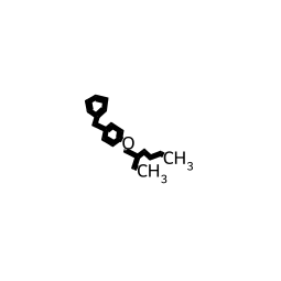 CCCCC(CC)COc1ccc(Cc2ccccc2)cc1